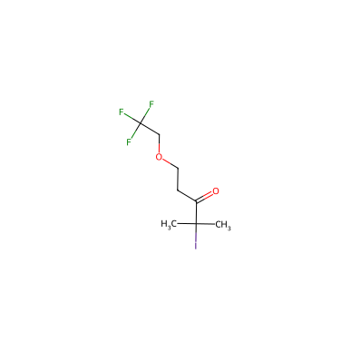 CC(C)(I)C(=O)CCOCC(F)(F)F